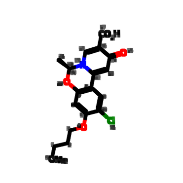 COCCCOc1cc2c(cc1Cl)-c1cc(=O)c(C(=O)O)cn1[C@H](C)O2